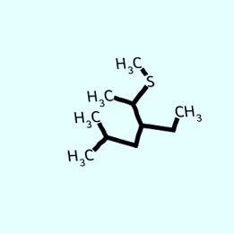 CCC(CC(C)C)C(C)SC